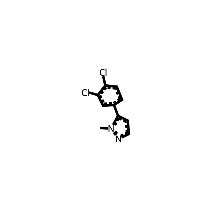 Cn1nccc1-c1ccc(Cl)c(Cl)c1